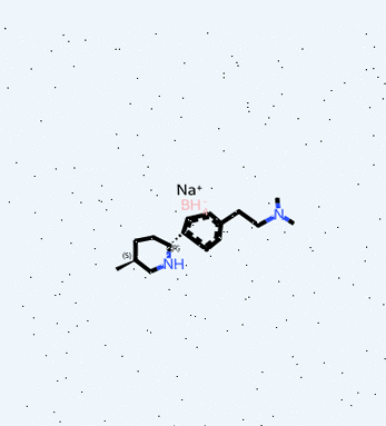 C[C@H]1CC[C@H](c2ccc(CCN(C)C)cc2)NC1.[BH4-].[Na+]